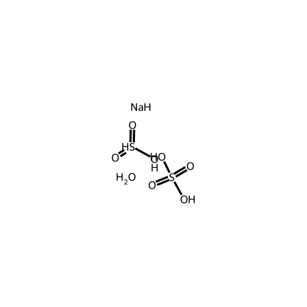 O.O=S(=O)(O)O.O=[SH](=O)O.[NaH]